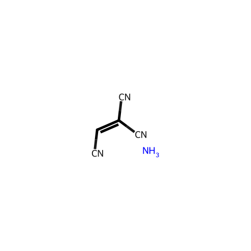 N.N#CC=C(C#N)C#N